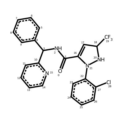 O=C(NC(c1ccccc1)c1ccccn1)C1=CC(C(F)(F)F)NN1c1ccccc1Cl